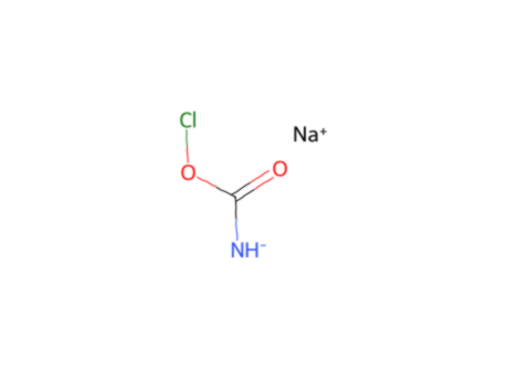 [NH-]C(=O)OCl.[Na+]